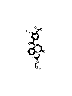 CCOC(=O)CN1C(=O)CCN(C(=O)c2ccc([N+](=O)[O-])c(C)c2)c2ccccc21